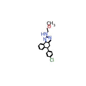 COCCNc1ncc2c(n1)-c1ccccc1C(c1ccc(Cl)cc1)C2